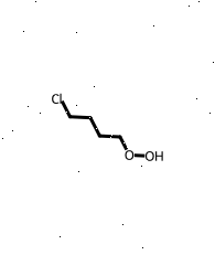 OOCCCCCl